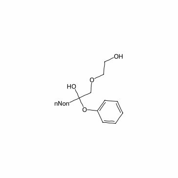 CCCCCCCCCC(O)(COCCO)Oc1ccccc1